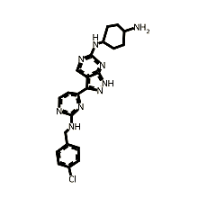 NC1CCC(Nc2ncc3c(-c4ccnc(NCc5ccc(Cl)cc5)n4)n[nH]c3n2)CC1